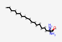 CCCCCCCCCCCCCCCCCC(N)(N)C=O